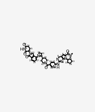 CN(C)C(=O)c1cc2cnc(Nc3ccc(C(=O)N4CCC([C@@H]5CCN5c5cccc6c5CN([C@@H]5CCC(=O)NC5=O)C6=O)CC4)cn3)nc2n1C1CCCC1